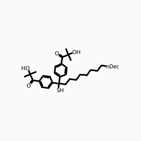 CCCCCCCCCCCCCCCCCCC(S)(c1ccc(C(=O)C(C)(C)O)cc1)c1ccc(C(=O)C(C)(C)O)cc1